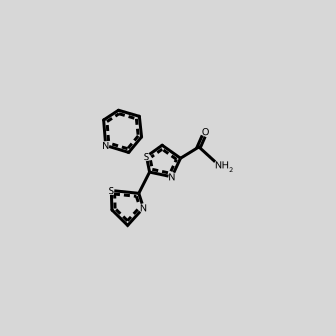 NC(=O)c1csc(-c2nccs2)n1.c1ccncc1